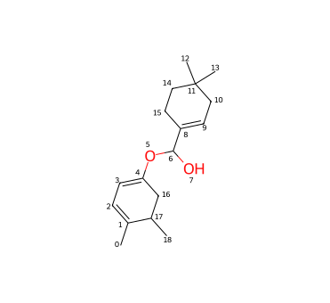 CC1=CC=C(OC(O)C2=CCC(C)(C)CC2)CC1C